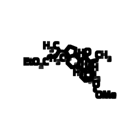 CC=C1C(=O)[C@@H]2[C@H](CC[C@]3(C)[C@@H](C(C)CCC(=O)OCC)CC[C@@H]23)[C@@]2(C)CC[C@@H](OCOC)C[C@@H]12